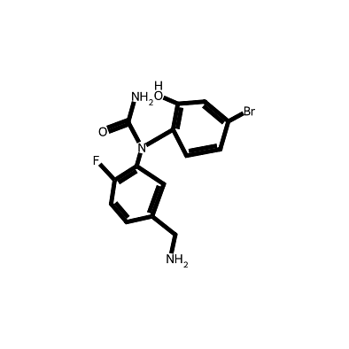 NCc1ccc(F)c(N(C(N)=O)c2ccc(Br)cc2O)c1